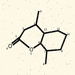 CC1CC(=O)OC2C(C)CCCC12